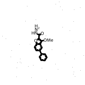 COc1c(C(=O)NN)oc2ccc(-c3ccccc3)cc12